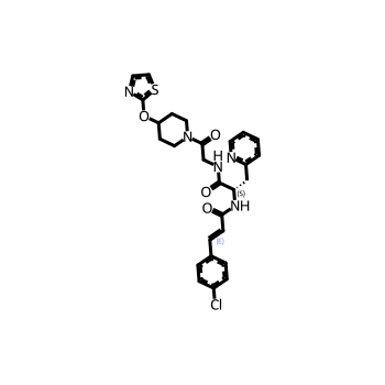 O=C(/C=C/c1ccc(Cl)cc1)N[C@@H](Cc1ccccn1)C(=O)NCC(=O)N1CCC(Oc2nccs2)CC1